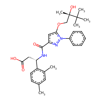 Cc1ccc([C@H](CC(=O)O)NC(=O)c2cc(OC[C@](C)(O)C(C)(C)C)n(-c3ccccc3)n2)c(C)c1